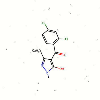 Cc1nn(C)c(O)c1C(=O)c1ccc(Cl)cc1Cl.[CaH2]